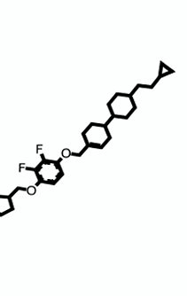 Fc1c(OCC2=CCC(C3CCC(CCC4CC4)CC3)CC2)ccc(OCC2CCCC2)c1F